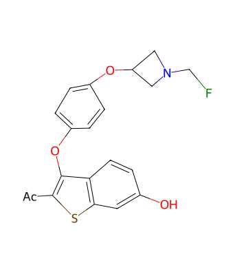 CC(=O)c1sc2cc(O)ccc2c1Oc1ccc(OC2CN(CF)C2)cc1